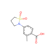 Cc1cc(N2CCCS2(=O)=O)ccc1C(=O)O